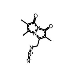 Cc1c(C)n2c(CN=[N+]=[N-])c(C)c(=O)n2c1=O